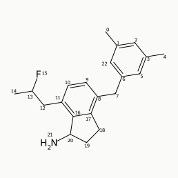 Cc1cc(C)cc(Cc2ccc(CC(C)F)c3c2CCC3N)c1